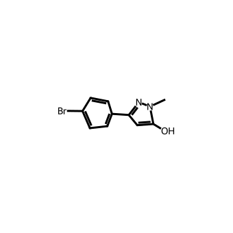 Cn1nc(-c2ccc(Br)cc2)cc1O